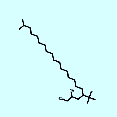 [CH2]C([CH2])([CH2])[C](CCCCCCCCCCCCCCCC(C)C)CC(O)CO